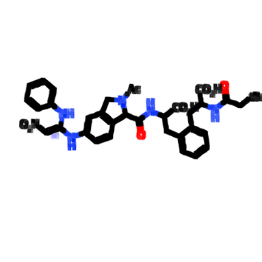 CC(=O)N1Cc2cc(N/C(=C/[N+](=O)[O-])Nc3ccccc3)ccc2C1C(=O)NC(Cc1ccccc1CC(NC(=O)CC(C)(C)C)C(=O)O)C(=O)O